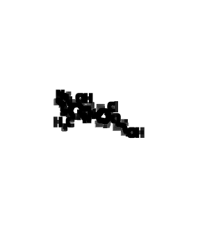 CCc1sc2cncn2c1C(O)c1cn(-c2ccc(OCCCO)c(Cl)c2)nn1